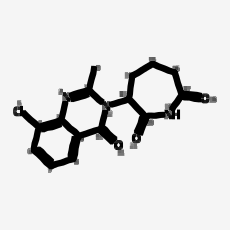 Cc1nc2c(Cl)cccc2c(=O)n1C1CCCC(=O)NC1=O